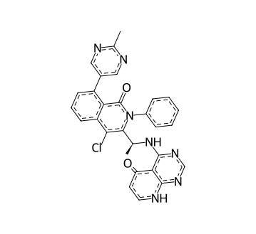 Cc1ncc(-c2cccc3c(Cl)c([C@H](C)Nc4ncnc5[nH]ccc(=O)c45)n(-c4ccccc4)c(=O)c23)cn1